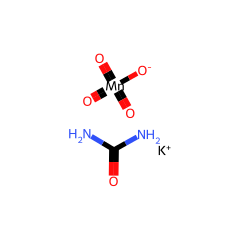 NC(N)=O.[K+].[O]=[Mn](=[O])(=[O])[O-]